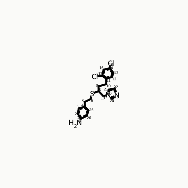 Nc1ccc(CCSC(CCc2ccc(Cl)cc2Cl)Cn2ccnc2)cc1